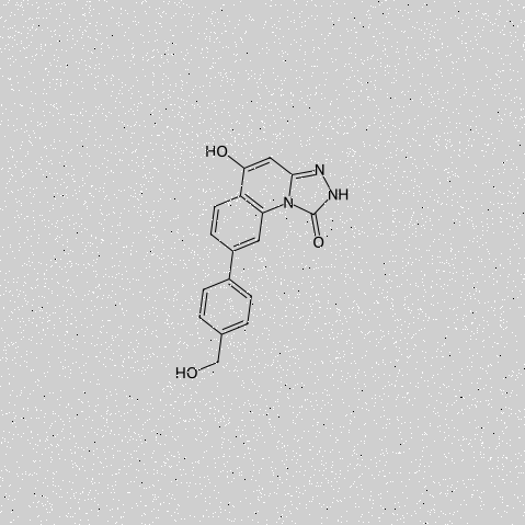 O=c1[nH]nc2cc(O)c3ccc(-c4ccc(CO)cc4)cc3n12